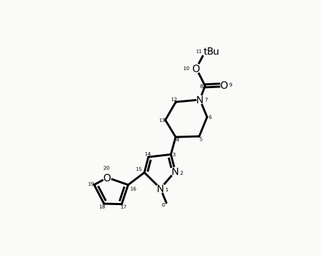 Cn1nc(C2CCN(C(=O)OC(C)(C)C)CC2)cc1-c1ccco1